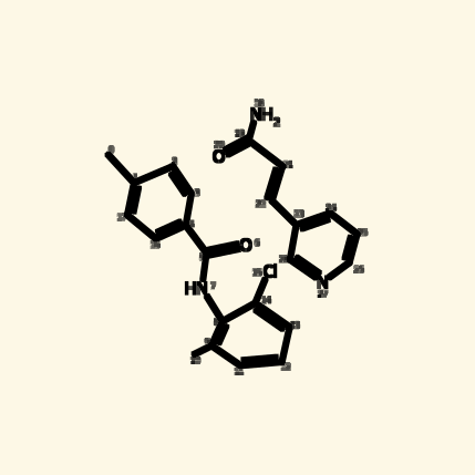 Cc1ccc(C(=O)Nc2c(C)cccc2Cl)cc1.NC(=O)C=Cc1cccnc1